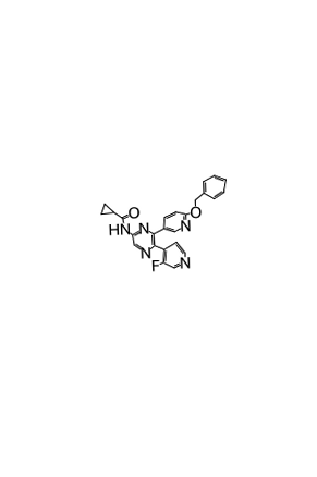 O=C(Nc1cnc(-c2ccncc2F)c(-c2ccc(OCc3ccccc3)nc2)n1)C1CC1